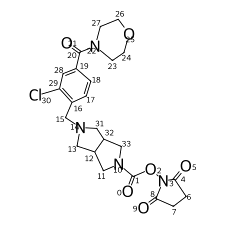 O=C(ON1C(=O)CCC1=O)N1CC2CN(Cc3ccc(C(=O)N4CCOCC4)cc3Cl)CC2C1